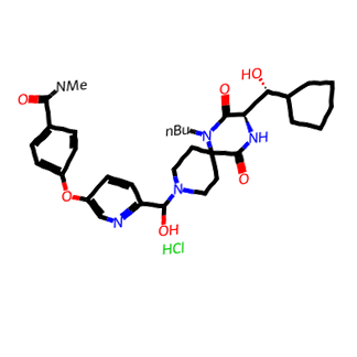 CCCCN1C(=O)[C@@H]([C@H](O)C2CCCCC2)NC(=O)C12CCN(C(O)c1ccc(Oc3ccc(C(=O)NC)cc3)cn1)CC2.Cl